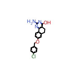 Nc1nc(O)c2c(n1)-c1ccc(OCc3ccc(Cl)cc3)cc1CC2